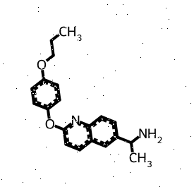 CCCOc1ccc(Oc2ccc3cc(C(C)N)ccc3n2)cc1